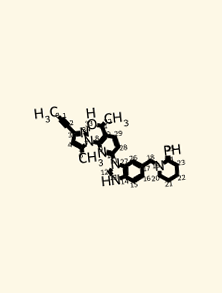 CC#Cc1cc(C)n(-c2nc(N3CNc4ccc(CN5CCCCC5=P)cc43)ccc2C(C)O)n1